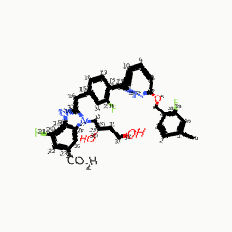 Cc1ccc(COc2cccc(-c3ccc(Cc4nc5c(F)cc(C(=O)O)cc5n4C[C@@H](O)CCO)cc3F)n2)c(F)c1